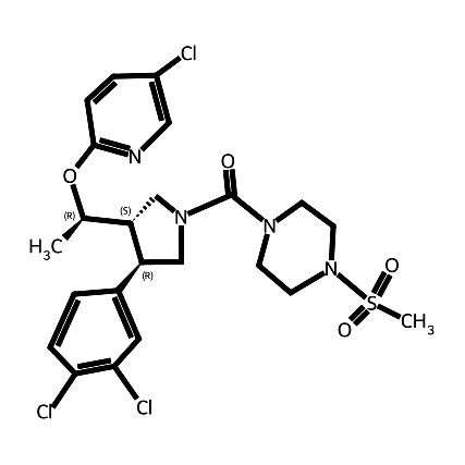 C[C@@H](Oc1ccc(Cl)cn1)[C@@H]1CN(C(=O)N2CCN(S(C)(=O)=O)CC2)C[C@H]1c1ccc(Cl)c(Cl)c1